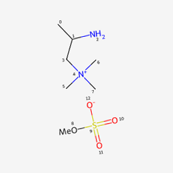 CC(N)C[N+](C)(C)C.COS(=O)(=O)[O-]